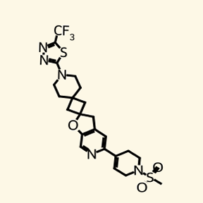 CS(=O)(=O)N1CC=C(c2cc3c(cn2)OC2(C3)CC3(CCN(c4nnc(C(F)(F)F)s4)CC3)C2)CC1